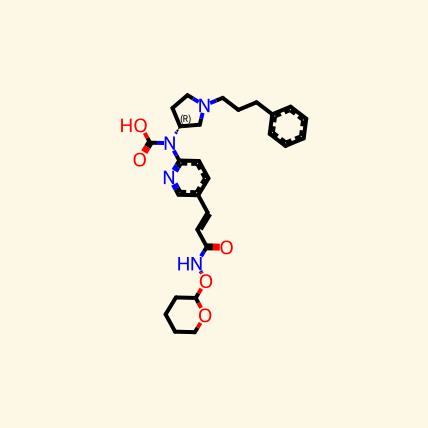 O=C(C=Cc1ccc(N(C(=O)O)[C@@H]2CCN(CCCc3ccccc3)C2)nc1)NOC1CCCCO1